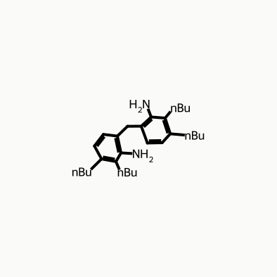 CCCCc1ccc(Cc2ccc(CCCC)c(CCCC)c2N)c(N)c1CCCC